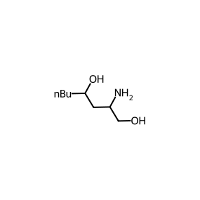 CCCCC(O)CC(N)CO